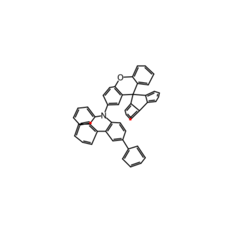 c1ccc(-c2ccc(N(c3ccccc3)c3ccc4c(c3)C3(c5ccccc5O4)c4ccccc4-c4ccccc43)c(-c3ccccc3)c2)cc1